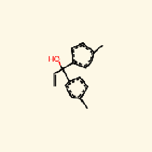 C=CC(O)(c1ccc(C)cc1)c1ccc(C)cc1